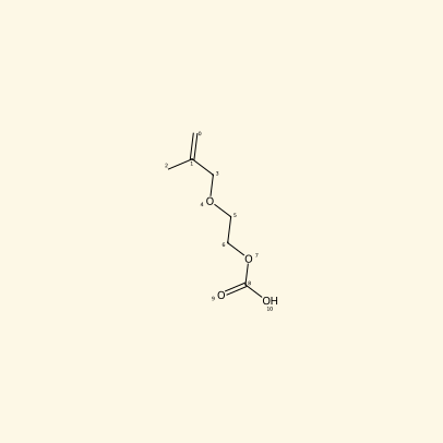 C=C(C)COCCOC(=O)O